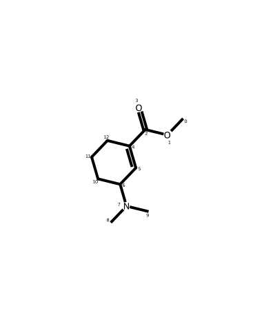 COC(=O)C1=CC(N(C)C)CCC1